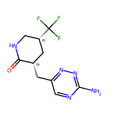 Nc1ncc(C[C@H]2C[C@@H](C(F)(F)F)CNC2=O)nn1